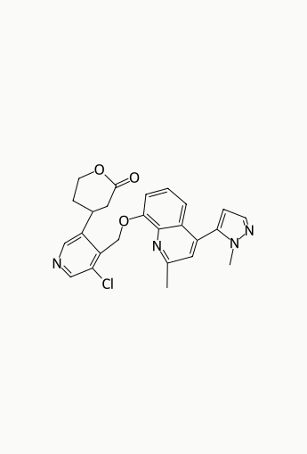 Cc1cc(-c2ccnn2C)c2cccc(OCc3c(Cl)cncc3C3CCOC(=O)C3)c2n1